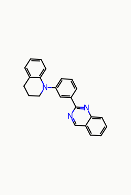 c1cc(-c2ncc3ccccc3n2)cc(N2CCCc3ccccc32)c1